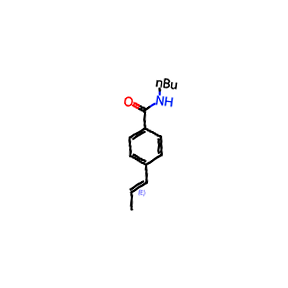 [CH2]CCCNC(=O)c1ccc(/C=C/C)cc1